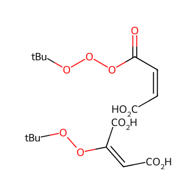 CC(C)(C)OO/C(=C/C(=O)O)C(=O)O.CC(C)(C)OOOC(=O)/C=C\C(=O)O